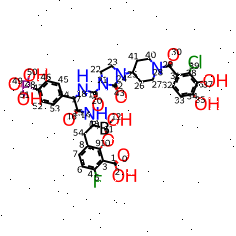 O=C(O)c1c(F)ccc2c1OB(O)[C@@H](NC(=O)C(NC(=O)N1CCN(C3CCN(C(=O)c4ccc(O)c(O)c4Cl)CC3)C1=O)c1ccc(P(=O)(O)O)cc1)C2